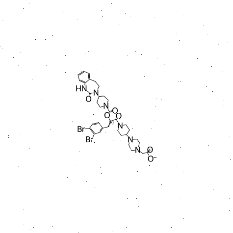 COC(=O)CN1CCN(C2CCN(C(=O)[C@@H](Cc3ccc(Br)c(Br)c3)OC(=O)N3CCC(N4CCc5ccccc5NC4=O)CC3)CC2)CC1